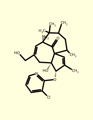 CC1=CC23C(=O)[C@@](N)(C=C(CO)C[C@]2(O)[C@H]1Oc1ncccc1Cl)C(C)(C)C(C)CC3C